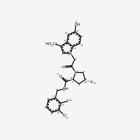 O=C(O)c1cn(CC(=O)N2C[C@H](F)C[C@H]2C(=O)NCc2cccc(Cl)c2F)c2ccc(O)cc12